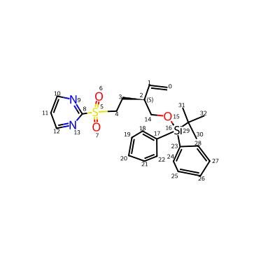 C=C[C@H](CCS(=O)(=O)c1ncccn1)CO[Si](c1ccccc1)(c1ccccc1)C(C)(C)C